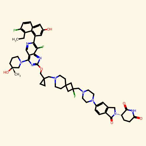 CCc1c(F)ccc2cc(O)cc(-c3ncc4c(N5CCC[C@@](C)(O)C5)nc(OCC5(CN6CCC7(CC6)CC(F)(CN6CCN(c8ccc9c(c8)CN([C@H]8CCC(=O)NC8=O)C9=O)CC6)C7)CC5)nc4c3F)c12